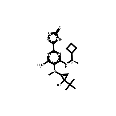 C[C@@H](Nc1nc(-c2noc(=O)[nH]2)nc(N)c1N(C)C1=CC1(O)C(C)(C)C)C1CCC1